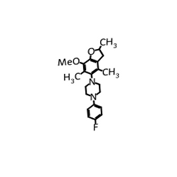 COc1c(C)c(N2CCN(c3ccc(F)cc3)CC2)c(C)c2c1OC(C)C2